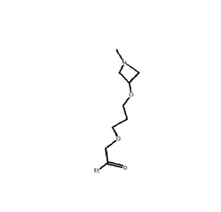 CCC(=O)COCCCOC1CN(C)C1